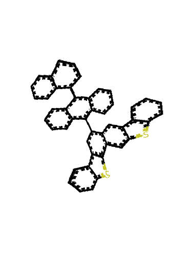 c1ccc2c(-c3c4ccccc4c(-c4cc5c6ccccc6sc5c5cc6sc7ccccc7c6cc45)c4ccccc34)cccc2c1